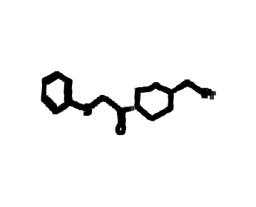 CC(C)C[C@H]1CC[C@H](C(=O)CSc2ccccc2)CC1